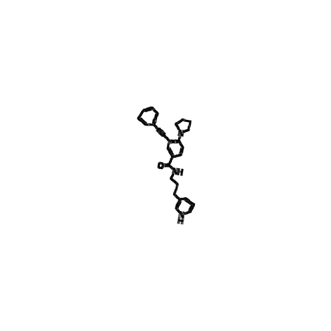 O=C(NCCCC1=CNC=C=C1)c1ccc(N2CCCC2)c(C#Cc2ccccc2)c1